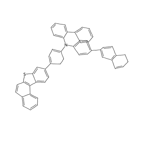 C1=Cc2cc(-c3ccc(N(C4=CC=C(c5ccc6c(c5)sc5ccc7ccccc7c56)CC4)c4ccccc4-c4ccccc4)cc3)ccc2CC1